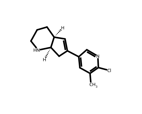 Cc1cc(C2=C[C@@H]3CCCN[C@@H]3C2)cnc1Cl